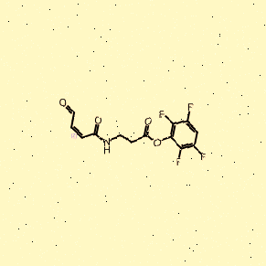 O=C/C=C\C(=O)NCCC(=O)Oc1c(F)c(F)cc(F)c1F